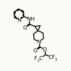 O=C(Nc1ccccn1)C1CC12CCN(C(=O)OC(C(F)(F)F)C(F)(F)F)CC2